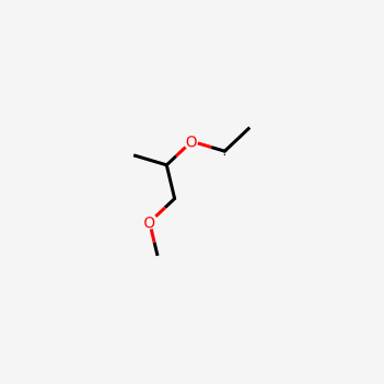 C[CH]OC(C)COC